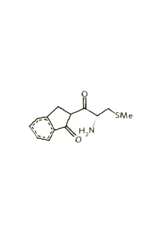 CSC[C@H](N)C(=O)C1Cc2ccccc2C1=O